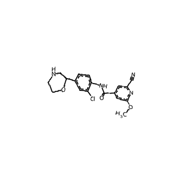 COc1cc(C(=O)Nc2ccc(C3CNCCO3)cc2Cl)cc(C#N)n1